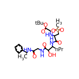 CCCC(NC(=O)C(CS(C)(=O)=O)NCC(=O)OC(C)(C)C)C(O)C(=O)NCC(=O)N[C@H](C)c1ccccc1